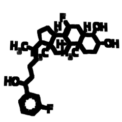 C[C@H](CCCC(O)c1cccc(F)c1)[C@H]1CC[C@H]2C3=C(F)C[C@H]4[C@@H](O)[C@@H](O)CC[C@]4(C)[C@H]3CC[C@]12C